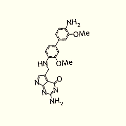 COc1cc(-c2ccc(NCC3=C4C(=O)N=C(N)N=C4N=C3)c(OC)c2)ccc1N